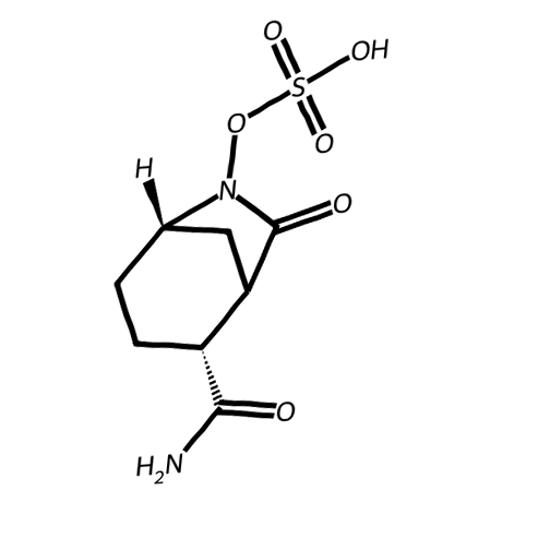 NC(=O)[C@@H]1CC[C@H]2CC1C(=O)N2OS(=O)(=O)O